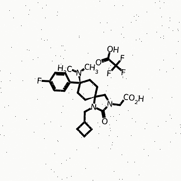 CN(C)[C@]1(c2ccc(F)cc2)CC[C@@]2(CC1)CN(CC(=O)O)C(=O)N2CC1CCC1.O=C(O)C(F)(F)F